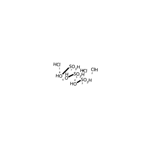 Cl.Cl.Cl.O=S(=O)(O)O.O=S(=O)(O)O.O=S(=O)(O)O